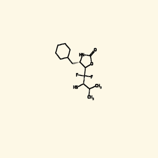 CC(C)C(S)C(F)(F)C1OC(=O)N[C@H]1CC1CCCCC1